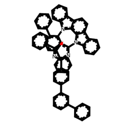 c1ccc(-c2cccc(-c3ccc(-c4nc(-c5ccccc5)nc(-n5c6ccccc6c6ccc7c8ccccc8n(-c8cc(-c9ccccc9)ccc8-c8ccccc8)c7c65)n4)cc3)c2)cc1